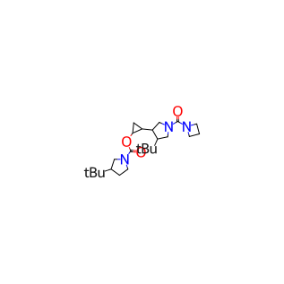 CC(C)(C)C1CCN(C(=O)OC2CC2C2CN(C(=O)N3CCC3)CC2C(C)(C)C)C1